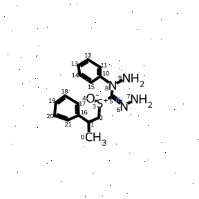 CC(C[S+]([O-])/C(=N/N)N(N)c1ccccc1)c1ccccc1